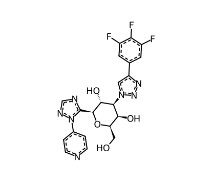 OC[C@H]1O[C@@H](c2ncnn2-c2ccncc2)[C@H](O)[C@@H](n2cc(-c3cc(F)c(F)c(F)c3)nn2)[C@H]1O